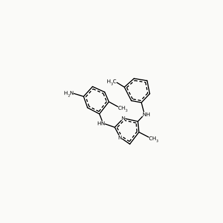 Cc1cccc(Nc2nc(Nc3cc(N)ccc3C)ncc2C)c1